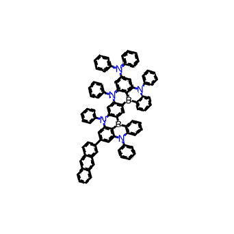 c1ccc(N(c2ccccc2)c2cc3c4c(c2)N(c2ccccc2)c2cc5c(cc2B4c2ccccc2N3c2ccccc2)B2c3ccccc3N(c3ccccc3)c3cc(-c4ccc6cc7ccccc7cc6c4)cc(c32)N5c2ccccc2)cc1